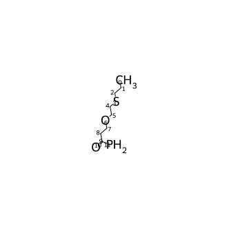 CCCSCCOCCC(=O)P